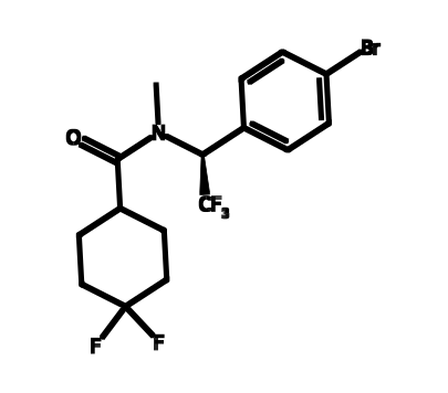 CN(C(=O)C1CCC(F)(F)CC1)[C@@H](c1ccc(Br)cc1)C(F)(F)F